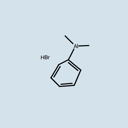 Br.[CH3][Al]([CH3])[c]1ccccc1